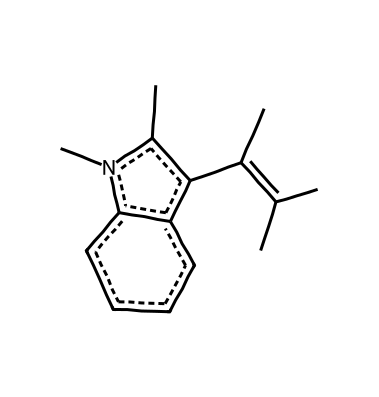 CC(C)=C(C)c1c(C)n(C)c2ccccc12